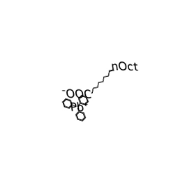 CCCCCCCCC=CCCCCCCCC(=O)[O-].c1cc[c]([Pb+]([c]2ccccc2)[c]2ccccc2)cc1